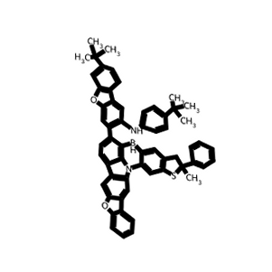 CC(C)(C)c1ccc(Nc2cc3c(cc2-c2ccc4c5cc6oc7ccccc7c6cc5n5c4c2Bc2cc4c(cc2-5)SC(C)(c2ccccc2)C4)oc2cc(C(C)(C)C)ccc23)cc1